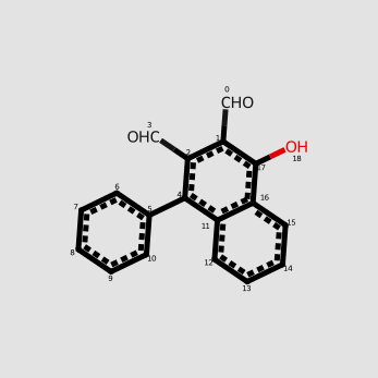 O=Cc1c(C=O)c(-c2ccccc2)c2ccccc2c1O